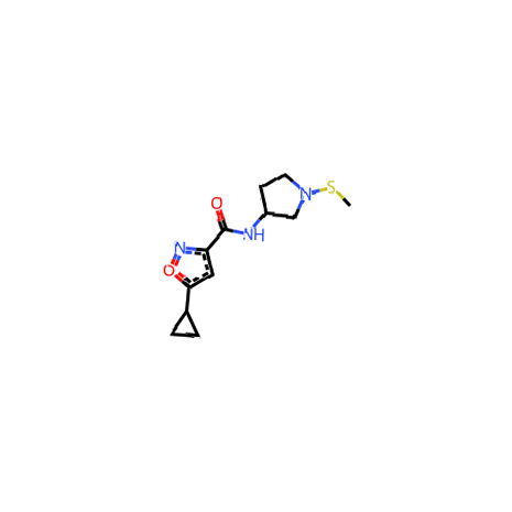 CSN1CCC(NC(=O)c2cc(C3CC3)on2)C1